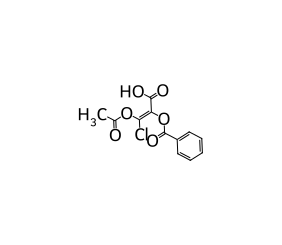 CC(=O)OC(Cl)=C(OC(=O)c1ccccc1)C(=O)O